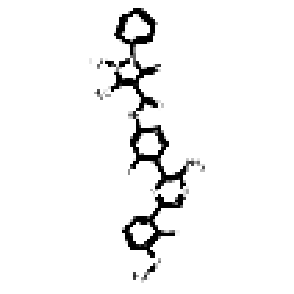 COc1cccc(-c2cnc(N)c(-c3ccc(NC(=O)c4c(C)n(C)n(-c5ccccc5)c4=O)cc3F)n2)c1F